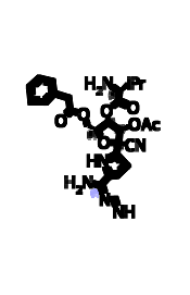 CC(=O)O[C@@H]1[C@H](OC(=O)[C@@H](N)C(C)C)[C@@H](COC(=O)Cc2ccccc2)O[C@@]1(C#N)c1ccc(/C(N)=N\C=N)[nH]1